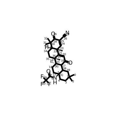 CC1(C)CC[C@]2(NC(=O)C(F)(F)F)CC[C@]3(C)C(C(=O)C=C4[C@@]5(C)C=C(C#N)C(=O)C(C)(C)[C@@H]5CC[C@]43C)C2C1